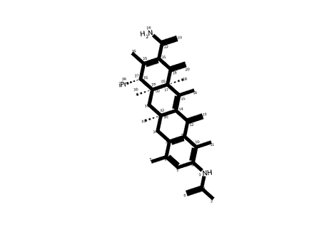 C=C(C)Nc1cc(C)c2c(c1C)C(=C)C1=C(C)[C@]3(C)C(=C)C(C(=C)N)=C(C)[C@@H](C(C)C)[C@]3(C)C[C@]1(C)C2